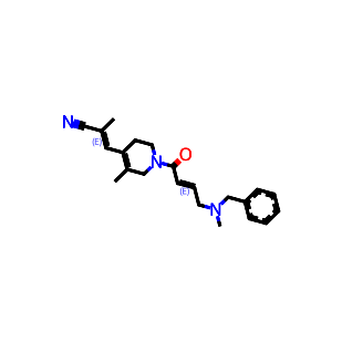 CC1=C(/C=C(\C)C#N)CCN(C(=O)/C=C/CN(C)Cc2ccccc2)C1